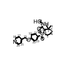 CC1(C)SCCN(S(=O)(=O)c2ccc(OCc3ccncc3)cc2)[C@H]1C(=O)NO